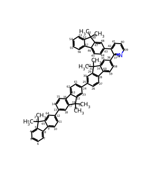 CC1(C)c2ccccc2-c2ccc(-c3ccc4c(c3)C(C)(C)c3cc(-c5ccc6c(c5)C(C)(C)c5cc(-c7ncccc7-c7ccc8c(c7)C(C)(C)c7ccccc7-8)ccc5-6)ccc3-4)cc21